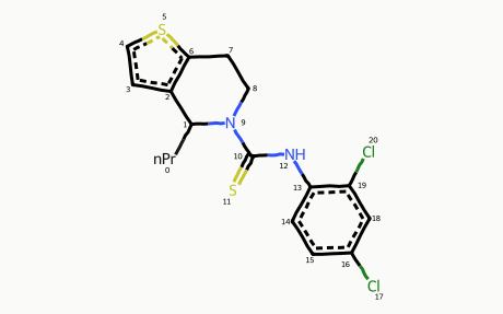 CCCC1c2ccsc2CCN1C(=S)Nc1ccc(Cl)cc1Cl